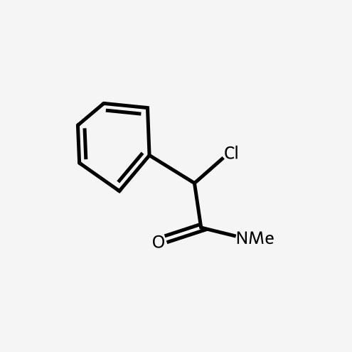 CNC(=O)C(Cl)c1ccccc1